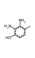 Cc1ccc(O)c(N)c1N